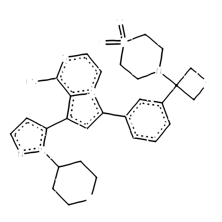 Nc1nccn2c(-c3cccc(C4(N5CCS(=O)(=O)CC5)COC4)c3)cc(-c3ccnn3C3CCOCC3)c12